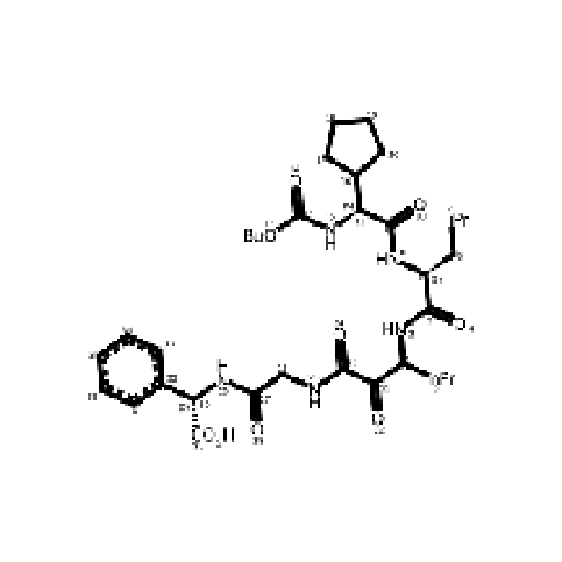 CCCC(NC(=O)[C@H](CC(C)C)NC(=O)[C@@H](NC(=O)OCC(C)C)C1CCCC1)C(=O)C(=O)NCC(=O)N[C@H](C(=O)O)c1ccccc1